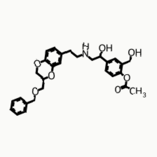 CC(=O)Oc1ccc(C(O)CNCCc2ccc3c(c2)OC(COCc2ccccc2)CO3)cc1CO